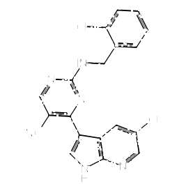 N#Cc1cnc(NCc2ccccc2Cl)nc1-c1c[nH]c2ncc(C(F)(F)F)cc12